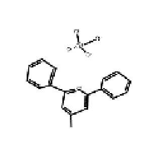 Cc1cc(-c2ccccc2)[s+]c(-c2ccccc2)c1.[O-][Cl+3]([O-])([O-])[O-]